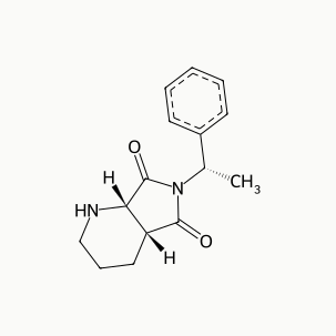 C[C@@H](c1ccccc1)N1C(=O)[C@H]2NCCC[C@H]2C1=O